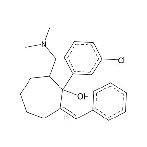 CN(C)CC1CCCC/C(=C/c2ccccc2)C1(O)c1cccc(Cl)c1